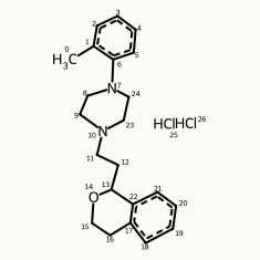 Cc1ccccc1N1CCN(CCC2OCCc3ccccc32)CC1.Cl.Cl